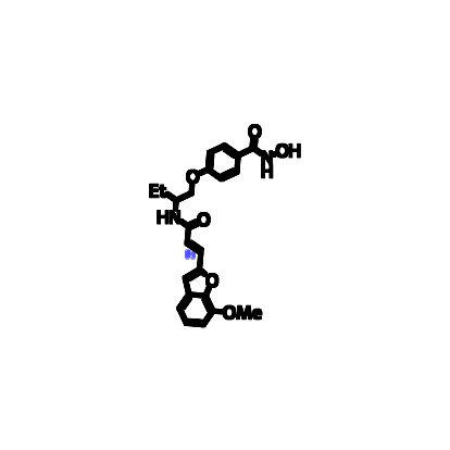 CCC(COc1ccc(C(=O)NO)cc1)NC(=O)/C=C/c1cc2cccc(OC)c2o1